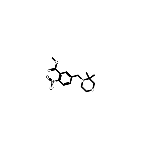 COC(=O)c1cc(CN2CCOCC2(C)C)ccc1[N+](=O)[O-]